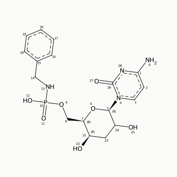 Nc1ccn([C@@H]2O[C@H](COP(=O)(O)NCc3ccccc3)[C@H](O)CC2O)c(=O)n1